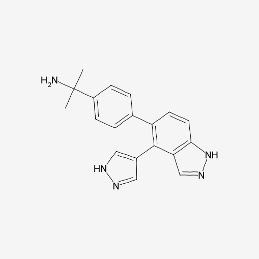 CC(C)(N)c1ccc(-c2ccc3[nH]ncc3c2-c2cn[nH]c2)cc1